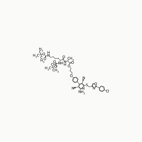 C[C@H](NC(=O)[C@H](CCCCNC(=O)OC(C)(C)C)NC(=O)OC(C)(C)C)C(=O)OC[CH]COc1ccc(-c2c(C#N)c(N)nc(SCc3coc(-c4ccc(Cl)cc4)n3)c2C#N)cc1